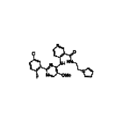 COc1cnc(-c2cc(Cl)ccc2F)nc1Nc1ccncc1C(=O)NCCn1cccc1